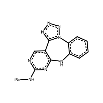 CCC(C)Nc1ncc2c(n1)Nc1ccccc1-n1nnnc1-2